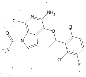 CC(Oc1c(N)nc(Cl)c2c1ccn2C(N)=O)c1c(Cl)ccc(F)c1Cl